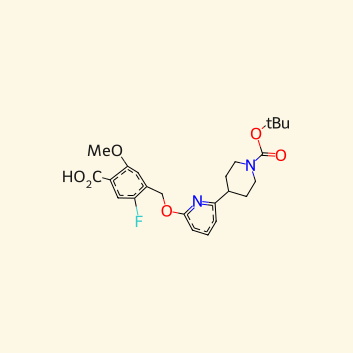 COc1cc(COc2cccc(C3CCN(C(=O)OC(C)(C)C)CC3)n2)c(F)cc1C(=O)O